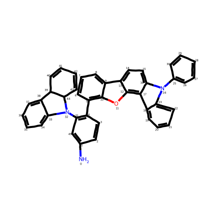 Nc1ccc(-c2cccc3c2oc2c3ccc3c2c2ccccc2n3-c2ccccc2)c(N2c3ccccc3C3C=CC=CC32)c1